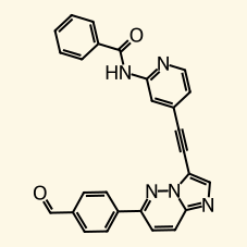 O=Cc1ccc(-c2ccc3ncc(C#Cc4ccnc(NC(=O)c5ccccc5)c4)n3n2)cc1